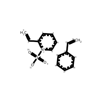 C=Cc1cccc[n+]1S(=O)(=O)[O-].C=Cc1ccccc1